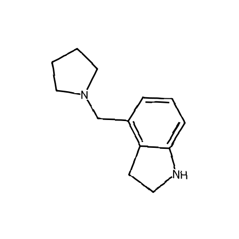 c1cc(CN2CCCC2)c2c(c1)NCC2